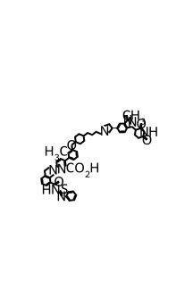 Cc1c(OC2CCC(CCCCN3CC[C@@H](c4ccc5c(C6CCC(=O)NC6=O)nn(C)c5c4)C3)CC2)cccc1-c1ccc(N2CCc3cccc(C(=O)Nc4nc5ccccc5s4)c3C2)nc1C(=O)O